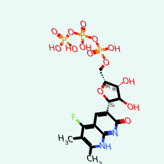 Cc1[nH]c2nc(=O)c([C@@H]3O[C@H](COP(=O)(O)OP(=O)(O)OP(=O)(O)O)[C@H](O)C3O)cc-2c(F)c1C